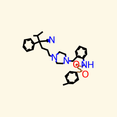 Cc1ccc(S(=O)(=O)Nc2ccccc2CN2CCN(CCCC(C#N)(c3ccccc3)C(C)C)CC2)cc1